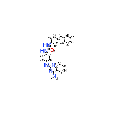 CN(C)c1nc(NC2CCC(NC(=O)Nc3ccc(Cc4ccccc4)cc3)CC2)nc2c1CCCC2